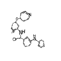 O=C(Nc1cc(Oc2ccncc2)ccn1)c1cccc(Nc2ccncc2)c1